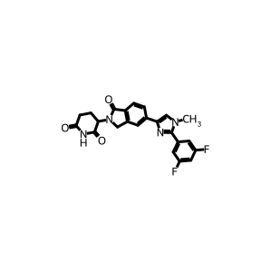 Cn1cc(-c2ccc3c(c2)CN(C2CCC(=O)NC2=O)C3=O)nc1-c1cc(F)cc(F)c1